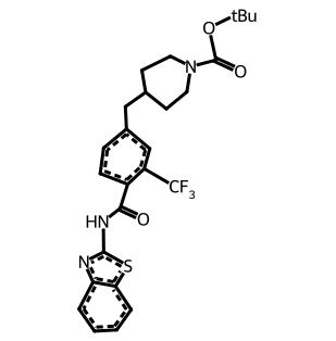 CC(C)(C)OC(=O)N1CCC(Cc2ccc(C(=O)Nc3nc4ccccc4s3)c(C(F)(F)F)c2)CC1